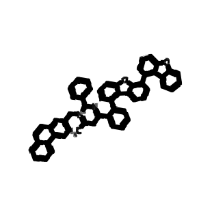 CC1=[N+](Cc2ccc3c(ccc4ccccc43)c2)C(c2ccccc2)N=C(c2ccccc2-c2cccc3oc4c(-c5cccc6oc7ccccc7c56)cccc4c23)C1